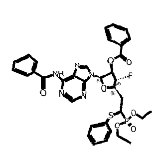 CCOP(=O)(OCC)C(C[C@H]1O[C@@H](n2cnc3c(NC(=O)c4ccccc4)ncnc32)C(OC(=O)c2ccccc2)[C@@H]1F)Sc1ccccc1